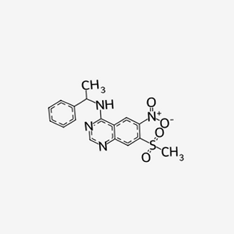 CC(Nc1ncnc2cc(S(C)(=O)=O)c([N+](=O)[O-])cc12)c1ccccc1